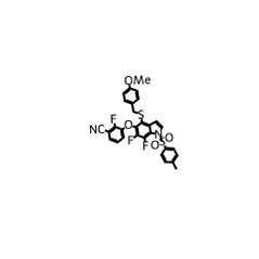 COc1ccc(CSc2c(Oc3cccc(C#N)c3F)c(F)c(F)c3c2ccn3S(=O)(=O)c2ccc(C)cc2)cc1